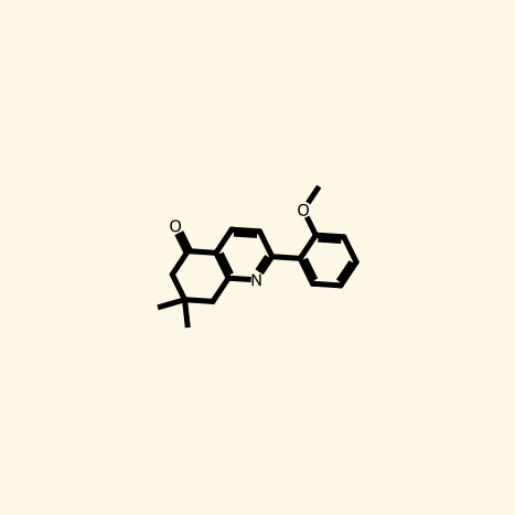 COc1ccccc1-c1ccc2c(n1)CC(C)(C)CC2=O